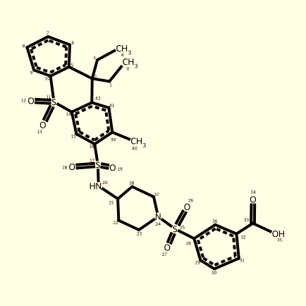 CCC1(CC)c2ccccc2S(=O)(=O)c2cc(S(=O)(=O)NC3CCN(S(=O)(=O)c4cccc(C(=O)O)c4)CC3)c(C)cc21